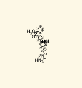 CN(C(=O)n1cnc(-c2ccc(OCCN3CCNCC3)cc2)c1)C1CCCCC1.Cl.Cl